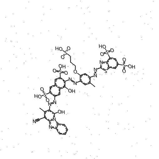 Cc1cc(N=Nc2c(S(=O)(=O)O)cc3cc(S(=O)(=O)O)c(N=Nc4c(C)c(C#N)c5nc6ccccc6n5c4O)cc3c2O)c(OCCCS(=O)(=O)O)cc1N=Nc1nc2c(S(=O)(=O)O)cc(S(=O)(=O)O)cc2s1